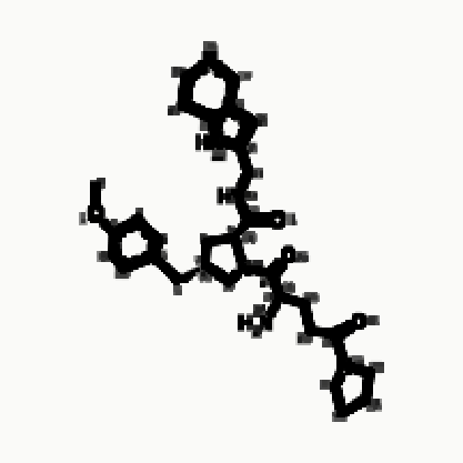 COc1ccc(C[C@@H]2C[C@@H](C(=O)NCc3cc4cnccc4[nH]3)N(C(=O)[C@H](N)CCC(=O)N3CCCC3)C2)cc1